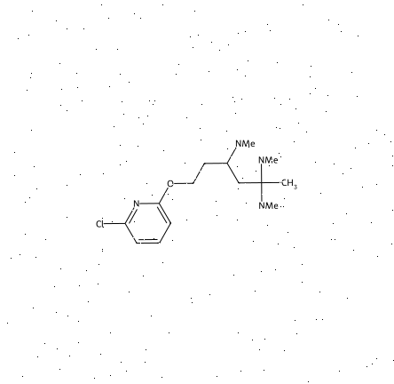 CNC(CCOc1cccc(Cl)n1)CC(C)(NC)NC